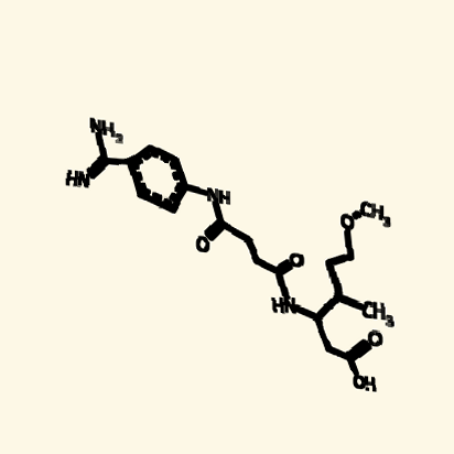 COCCC(C)C(CC(=O)O)NC(=O)CCC(=O)Nc1ccc(C(=N)N)cc1